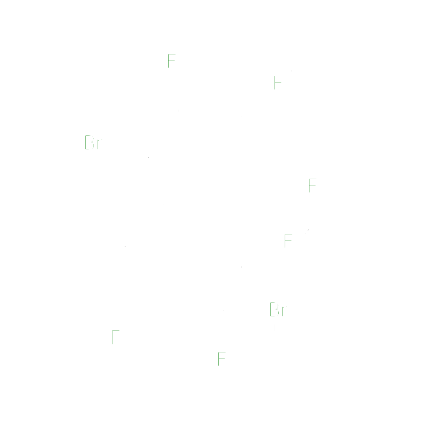 FC1=Cc2c(Br)c(F)c(F)c(F)c2C(F)(Br)C1F